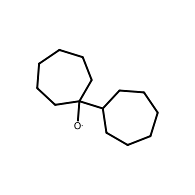 [O]C1(C2CCCCCC2)CCCCCC1